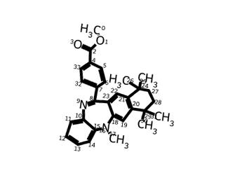 COC(=O)c1ccc(C2=Nc3ccccc3N(C)c3cc4c(cc32)C(C)(C)CCC4(C)C)cc1